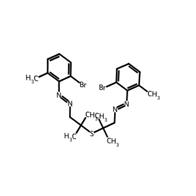 Cc1cccc(Br)c1N=NCC(C)(C)SC(C)(C)CN=Nc1c(C)cccc1Br